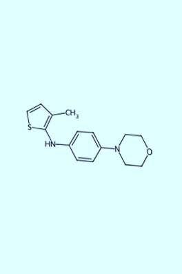 Cc1ccsc1Nc1ccc(N2CCOCC2)cc1